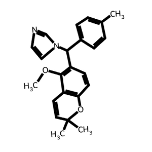 COc1c(C(c2ccc(C)cc2)n2ccnc2)ccc2c1C=CC(C)(C)O2